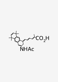 CC(=O)NC1=Cc2cc3c(cc2C(=CC=CC=C(C)C(=O)O)C1)C(C)(C)C=CC3(C)C